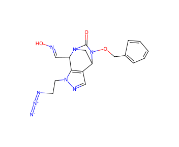 [N-]=[N+]=NCCn1ncc2c1C(C=NO)N1CC2N(OCc2ccccc2)C1=O